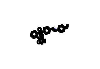 O=S(=O)(c1ccc(/C=C/c2ccc(F)cc2)cc1)c1ccccc1-c1nnco1